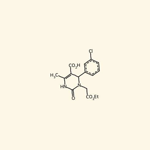 CCOC(=O)CN1C(=O)NC(C)=C(C(=O)O)C1c1cccc(Cl)c1